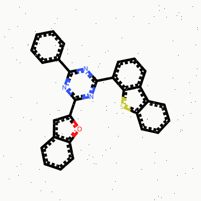 c1ccc(-c2nc(-c3cc4ccccc4o3)nc(-c3cccc4c3sc3ccccc34)n2)cc1